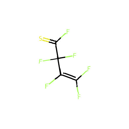 FC(=S)C(F)(F)C(F)=C(F)F